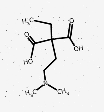 CCC(CCN(C)C)(C(=O)O)C(=O)O